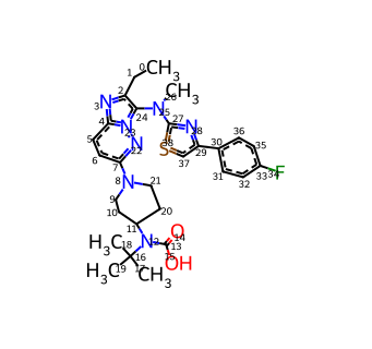 CCc1nc2ccc(N3CCC(N(C(=O)O)C(C)(C)C)CC3)nn2c1N(C)c1nc(-c2ccc(F)cc2)cs1